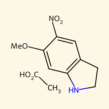 CC(=O)O.COc1cc2c(cc1[N+](=O)[O-])CCN2